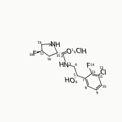 Cl.O=C(NC[C@@H](O)c1cccc(Cl)c1F)[C@@H]1C[C@@H](F)CN1